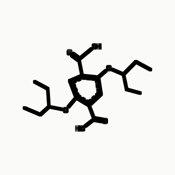 CCC(CC)Oc1cc(C(=O)O)c(OC(CC)CC)cc1C(=O)O